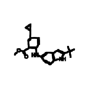 COC(=O)c1cc(C2CC2)ccc1Nc1ccc2[nH]c(C(C)(C)C)cc2c1